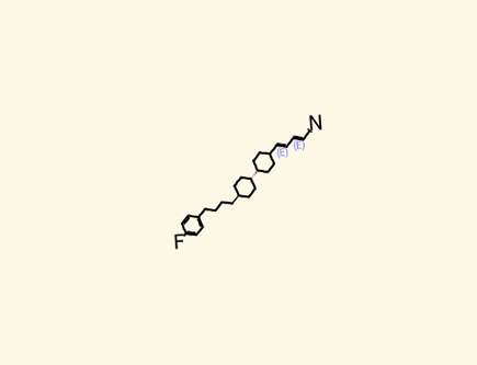 N#C/C=C/C=C/C1CCC([C@H]2CC[C@H](CCCCc3ccc(F)cc3)CC2)CC1